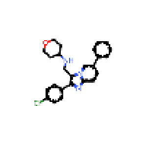 Clc1ccc(-c2nc3ccc(-c4ccccc4)cn3c2CNC2CCOCC2)cc1